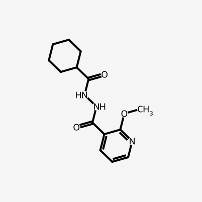 COc1ncccc1C(=O)NNC(=O)C1CCCCC1